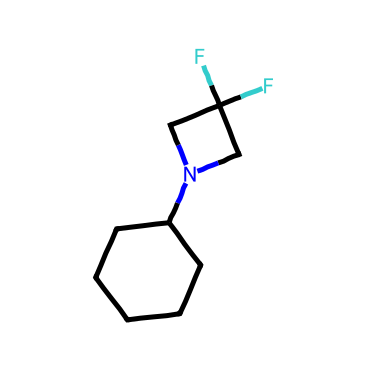 FC1(F)CN(C2CCCCC2)C1